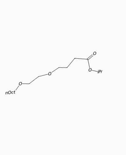 CCCCCCCCOCCOCCCC(=O)OC(C)C